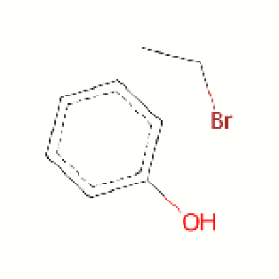 CCBr.Oc1ccccc1